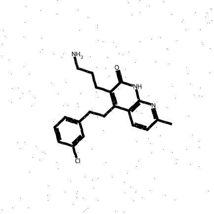 Cc1ccc2c(CCc3cccc(Cl)c3)c(CCCN)c(=O)[nH]c2n1